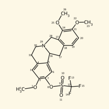 COc1cc2c(cc1OS(=O)(=O)C(F)(F)F)C1Cc3ccc(OC)c(OC)c3CN1CC2